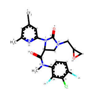 Cc1cc(C(F)(F)F)cc(N2C(=O)N(CC3CO3)CC2C(=O)N(C)c2ccc(F)c(Cl)c2F)n1